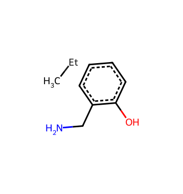 CCC.NCc1ccccc1O